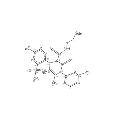 COCCNC(=O)N1C(=O)N(c2cccc(C(F)(F)F)c2)C(C)=C(C#N)C1c1ccc(C#N)cc1S(C)(=O)=O